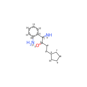 N=C(C(=O)CCC1CCCC1)c1ccccc1N